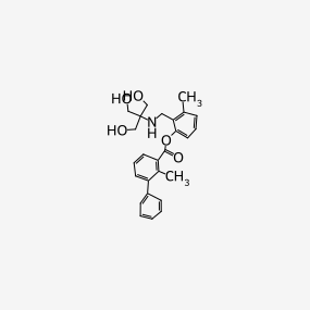 Cc1cccc(OC(=O)c2cccc(-c3ccccc3)c2C)c1CNC(CO)(CO)CO